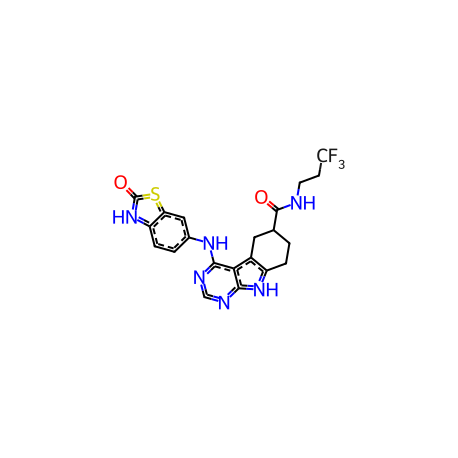 O=C(NCCC(F)(F)F)C1CCc2[nH]c3ncnc(Nc4ccc5[nH]c(=O)sc5c4)c3c2C1